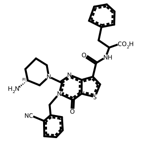 N#Cc1ccccc1Cn1c(N2CCC[C@@H](N)C2)nc2c(C(=O)NC(Cc3ccccc3)C(=O)O)csc2c1=O